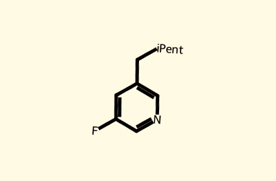 CCCC(C)Cc1cncc(F)c1